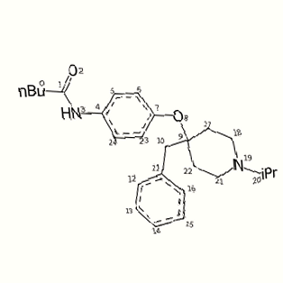 CCCCC(=O)Nc1ccc(OC2(Cc3ccccc3)CCN(C(C)C)CC2)cc1